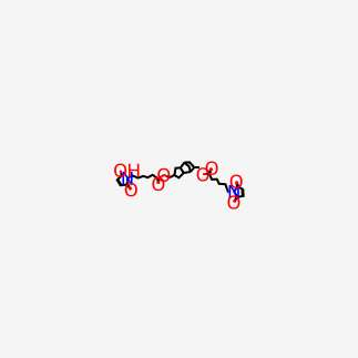 O=C(CCCCCN1C(=O)C=CC1O)OCC1CC2C3CC(COC(=O)CCCCCN4C(=O)C=CC4=O)C(C3)C2C1